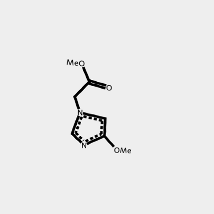 COC(=O)Cn1cnc(OC)c1